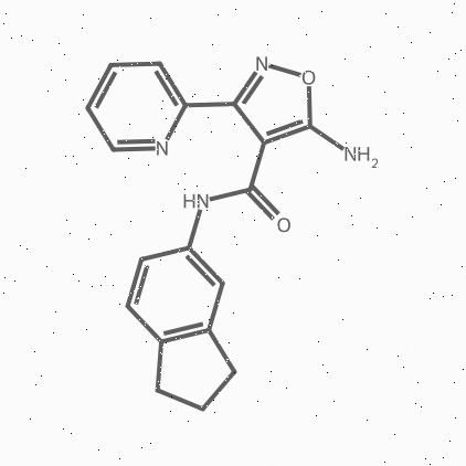 Nc1onc(-c2ccccn2)c1C(=O)Nc1ccc2c(c1)CCC2